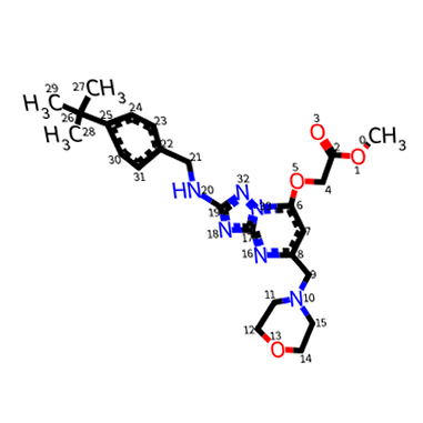 COC(=O)COc1cc(CN2CCOCC2)nc2nc(NCc3ccc(C(C)(C)C)cc3)nn12